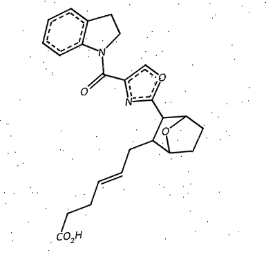 O=C(O)CCC=CCC1C2CCC(O2)C1c1nc(C(=O)N2CCc3ccccc32)co1